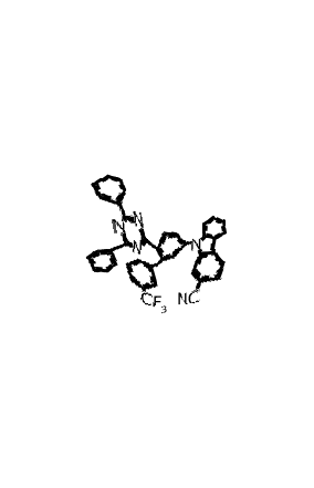 N#Cc1ccc2c3ccccc3n(-c3ccc(-c4nc(-c5ccccc5)nc(-c5ccccc5)n4)c(-c4cccc(C(F)(F)F)c4)c3)c2c1